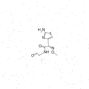 CON=C(C(=O)N[C@H](C)C=O)c1csc(N)n1